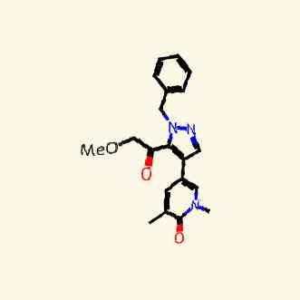 COCC(=O)c1c(-c2cc(C)c(=O)n(C)c2)cnn1Cc1ccccc1